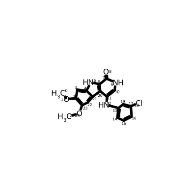 COc1cc2[nH]c3c(=O)[nH]cc(Nc4cccc(Cl)c4)c3c2cc1OC